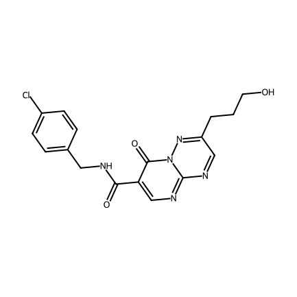 O=C(NCc1ccc(Cl)cc1)c1cnc2ncc(CCCO)nn2c1=O